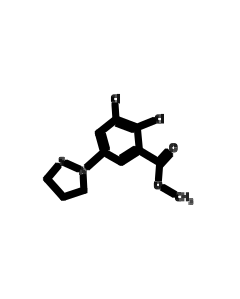 COC(=O)c1cc(N2CCCS2)cc(Cl)c1Cl